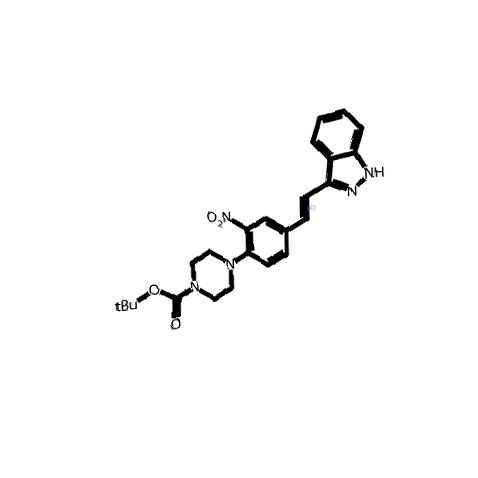 CC(C)(C)OC(=O)N1CCN(c2ccc(/C=C/c3n[nH]c4ccccc34)cc2[N+](=O)[O-])CC1